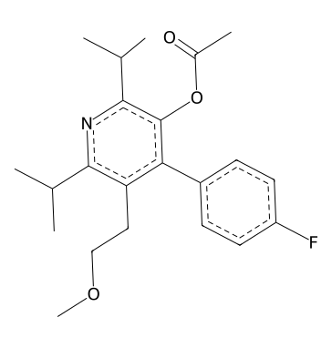 COCCc1c(C(C)C)nc(C(C)C)c(OC(C)=O)c1-c1ccc(F)cc1